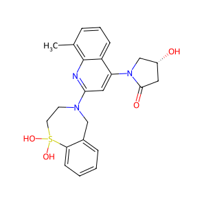 Cc1cccc2c(N3C[C@H](O)CC3=O)cc(N3CCS(O)(O)c4ccccc4C3)nc12